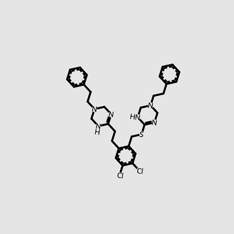 Clc1cc(CCC2=NCN(CCc3ccccc3)CN2)c(CSC2=NCN(CCc3ccccc3)CN2)cc1Cl